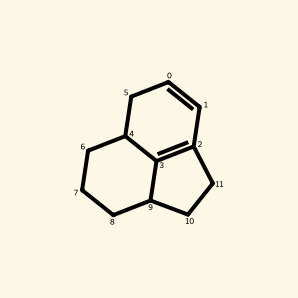 C1=CC2=C3C(C1)CCCC3CC2